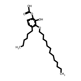 CCCCCCCCCCCCCOc1c(CCCCCC)ccc(OC(=O)O)c1O